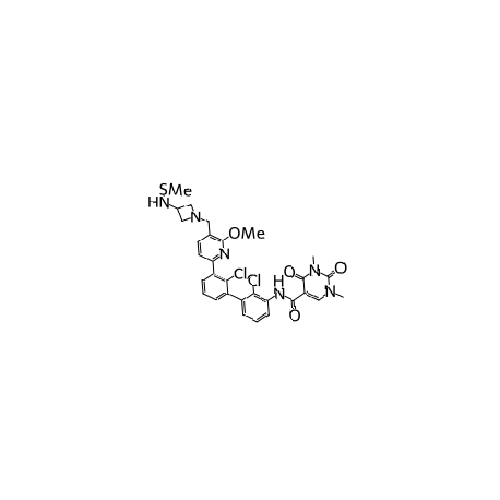 COc1nc(-c2cccc(-c3cccc(NC(=O)c4cn(C)c(=O)n(C)c4=O)c3Cl)c2Cl)ccc1CN1CC(NSC)C1